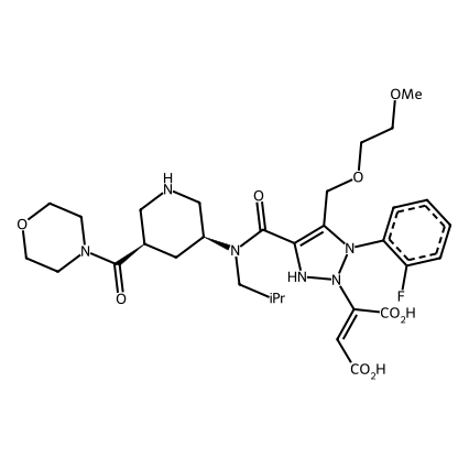 COCCOCC1=C(C(=O)N(CC(C)C)[C@@H]2CNC[C@H](C(=O)N3CCOCC3)C2)NN(/C(=C/C(=O)O)C(=O)O)N1c1ccccc1F